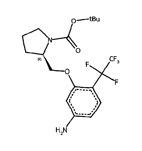 CC(C)(C)OC(=O)N1CCC[C@@H]1COc1cc(N)ccc1C(F)(F)C(F)(F)F